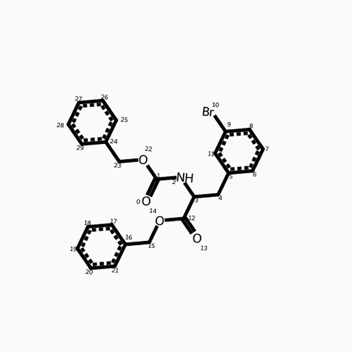 O=C(NC(Cc1cccc(Br)c1)C(=O)OCc1ccccc1)OCc1ccccc1